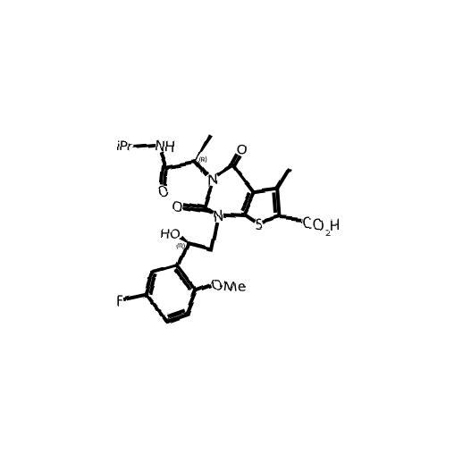 COc1ccc(F)cc1[C@@H](O)Cn1c(=O)n([C@H](C)C(=O)NC(C)C)c(=O)c2c(C)c(C(=O)O)sc21